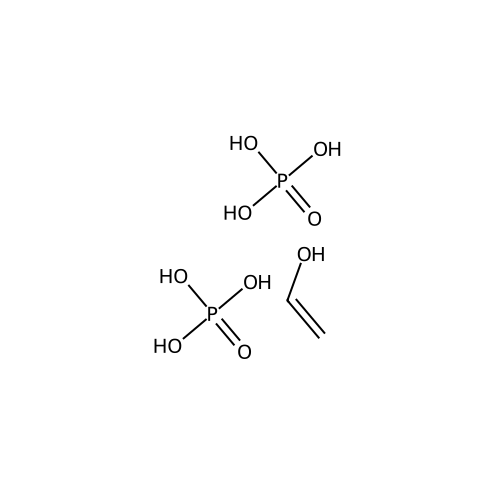 C=CO.O=P(O)(O)O.O=P(O)(O)O